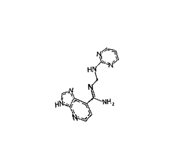 NC(=NCNc1ncccn1)c1ccnc2[nH]cnc12